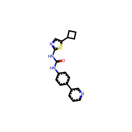 O=C(Nc1ccc(-c2cccnc2)cc1)Nc1ncc(C2CCC2)s1